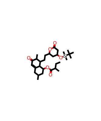 CCC(C)C(=O)OC1CC(C)CC2=CC(=O)C(C)C(CCC3CC(O[Si](C)(C)C(C)(C)C)CC(=O)O3)C21